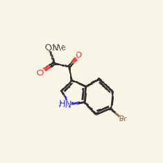 COC(=O)C(=O)c1c[nH]c2cc(Br)ccc12